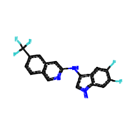 Fc1cc2[nH]cc(Nc3cc4cc(C(F)(F)F)ccc4cn3)c2cc1F